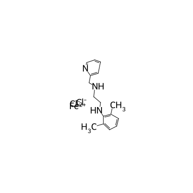 Cc1cccc(C)c1NCCNCc1ccccn1.[Cl-].[Cl-].[Fe+2]